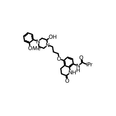 COc1ccccc1N1CCN(CCCOc2ccc(NC(=O)C(C)C)c3c2CCC(=O)N3)C(O)C1